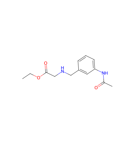 CCOC(=O)CNCc1cccc(NC(C)=O)c1